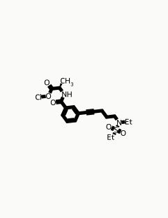 CCN(CCCC#Cc1cccc(C(=O)N[C@H](C)C(=O)OCl)c1)S(=O)(=O)CC